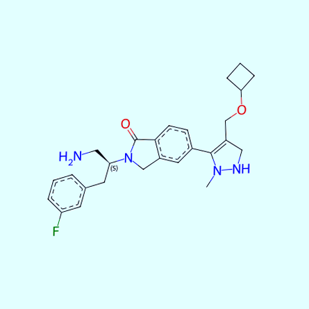 CN1NCC(COC2CCC2)=C1c1ccc2c(c1)CN([C@H](CN)Cc1cccc(F)c1)C2=O